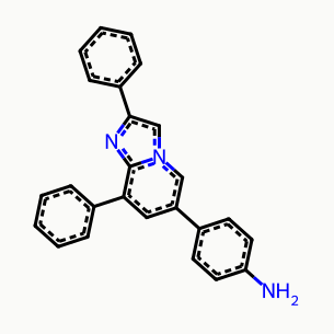 Nc1ccc(-c2cc(-c3ccccc3)c3nc(-c4ccccc4)cn3c2)cc1